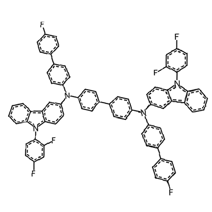 Fc1ccc(-c2ccc(N(c3ccc(-c4ccc(N(c5ccc(-c6ccc(F)cc6)cc5)c5ccc6c(c5)c5ccccc5n6-c5ccc(F)cc5F)cc4)cc3)c3ccc4c(c3)c3ccccc3n4-c3ccc(F)cc3F)cc2)cc1